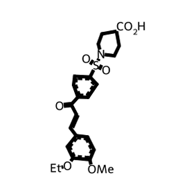 CCOc1cc(C=CC(=O)c2ccc(S(=O)(=O)N3CCC(C(=O)O)CC3)cc2)ccc1OC